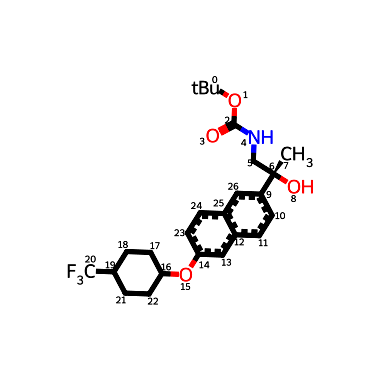 CC(C)(C)OC(=O)NC[C@](C)(O)c1ccc2cc(OC3CCC(C(F)(F)F)CC3)ccc2c1